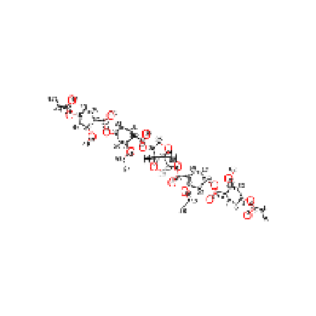 C=CC(=O)Oc1ccc(C(=O)Oc2ccc(C(=O)O[C@@H]3CO[C@H]4[C@@H]3OC[C@H]4OC(=O)c3ccc(OC(=O)c4ccc(OC(=O)C=C)cc4OC)cc3OCC)c(OCC)c2)c(OC)c1